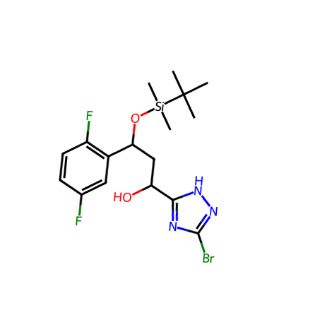 CC(C)(C)[Si](C)(C)OC(CC(O)c1nc(Br)n[nH]1)c1cc(F)ccc1F